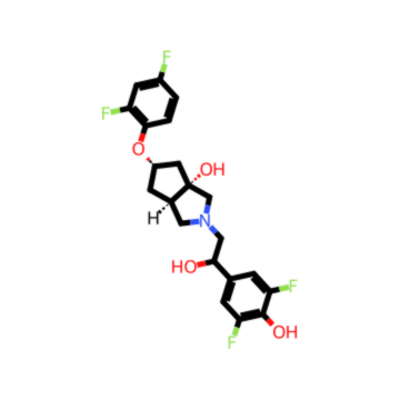 Oc1c(F)cc(C(O)CN2C[C@H]3C[C@H](Oc4ccc(F)cc4F)C[C@@]3(O)C2)cc1F